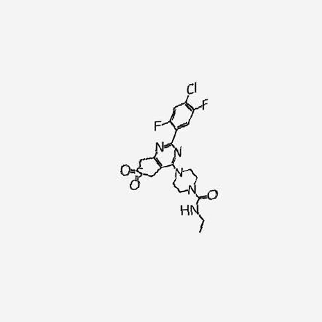 CCNC(=O)N1CCN(c2nc(-c3cc(F)c(Cl)cc3F)nc3c2CS(=O)(=O)C3)CC1